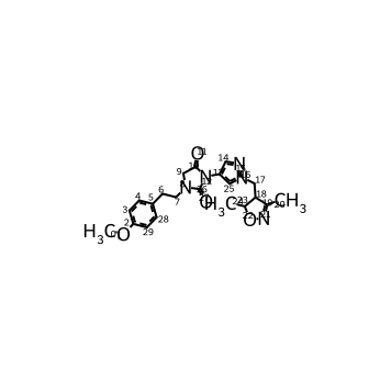 COc1ccc(CCN2CC(=O)N(c3cnn(CC4C(C)=NOC4C)c3)C2=O)cc1